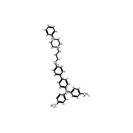 Cc1ccc(N(c2ccc(C)cc2)c2ccc(-c3ccc(OCCCN4CCN(c5ccccc5)CC4)cc3)cc2)cc1